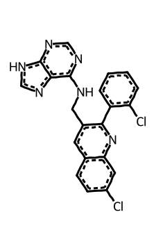 Clc1ccc2cc(CNc3ncnc4[nH]cnc34)c(-c3ccccc3Cl)nc2c1